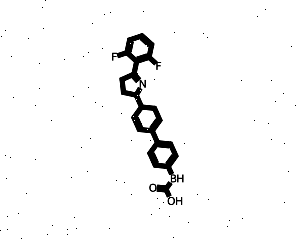 O=C(O)Bc1ccc(C2=CCC(C3CCC(c4c(F)cccc4F)=N3)C=C2)cc1